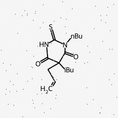 C=CCC1(C(C)CC)C(=O)NC(=S)N(CCCC)C1=O